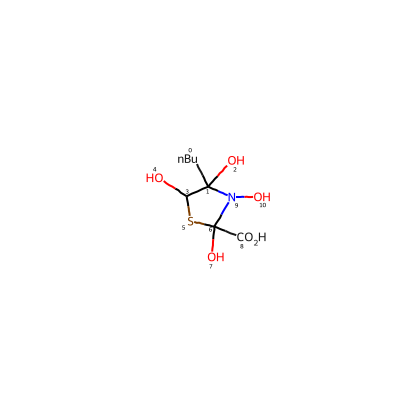 CCCCC1(O)C(O)SC(O)(C(=O)O)N1O